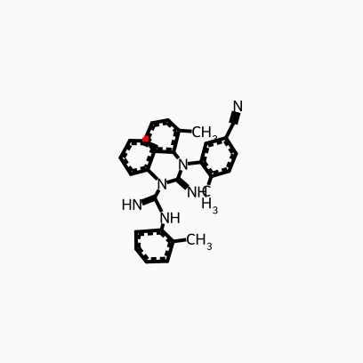 Cc1ccccc1NC(=N)N(C(=N)N(c1ccccc1C)c1cc(C#N)ccc1C)c1ccccc1